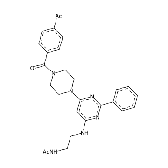 CC(=O)NCCNc1cc(N2CCN(C(=O)c3ccc(C(C)=O)cc3)CC2)nc(-c2ccccc2)n1